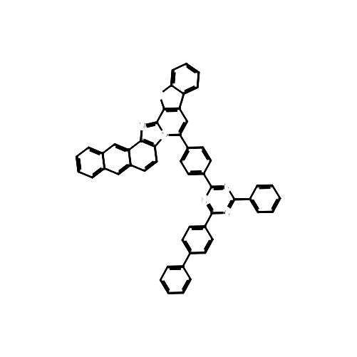 c1ccc(-c2ccc(-c3nc(-c4ccccc4)nc(-c4ccc(-c5cc6c7ccccc7sc6c6nc7c8cc9ccccc9cc8ccc7n56)cc4)n3)cc2)cc1